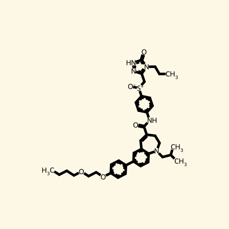 CCCCOCCOc1ccc(-c2ccc3c(c2)C=C(C(=O)Nc2ccc([S+]([O-])Cc4n[nH]c(=O)n4CCC)cc2)CCN3CC(C)C)cc1